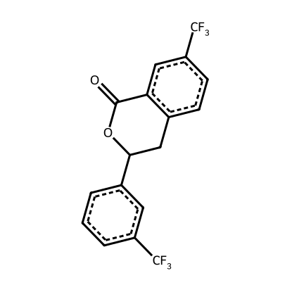 O=C1OC(c2cccc(C(F)(F)F)c2)Cc2ccc(C(F)(F)F)cc21